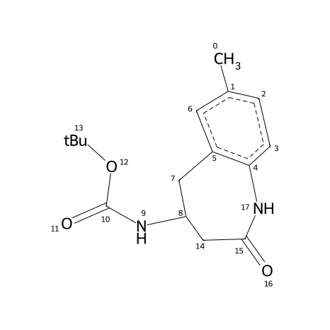 Cc1ccc2c(c1)CC(NC(=O)OC(C)(C)C)CC(=O)N2